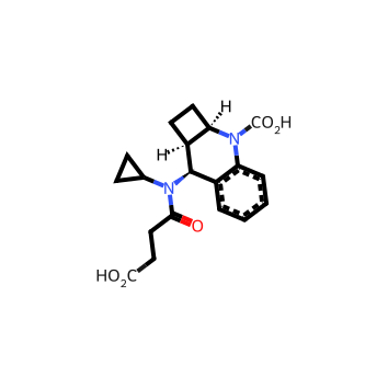 O=C(O)CCC(=O)N(C1CC1)[C@@H]1c2ccccc2N(C(=O)O)[C@@H]2CC[C@@H]21